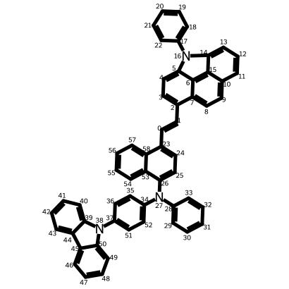 C(=C\c1ccc2c3c1ccc1cccc(c13)n2-c1ccccc1)/c1ccc(N(c2ccccc2)c2ccc(-n3c4ccccc4c4ccccc43)cc2)c2ccccc12